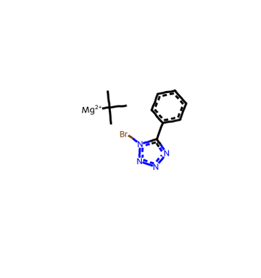 Brn1nnnc1-c1ccccc1.C[C](C)(C)[Mg+2]